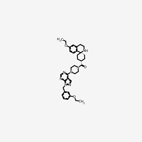 CCOc1cccc(Cn2ncc3c(N4CCN(C(=O)[C@H]5CC[C@@]6(CC5)NCCc5cc(OCC)ccc56)CC4)ncnc32)c1